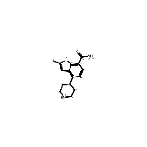 Cc1cc2c(N3CCNCC3)ccc(C(N)=O)c2o1